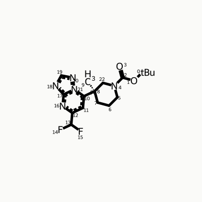 CC(C)(C)OC(=O)N1CCC[C@@](C)(c2cc(C(F)F)nc3ncnn23)C1